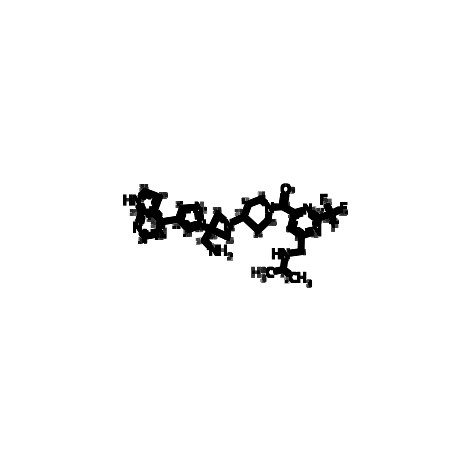 CC(C)NCc1cc(C(=O)N2CCC(N3CC(CN)(n4cc(-c5ncnc6[nH]ccc56)cn4)C3)CC2)nc(C(F)(F)F)n1